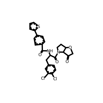 O=C(NC(Cc1ccc(Cl)c(Cl)c1)C(=O)N1CCC2OCC(=O)C21)c1ccc(-c2cccs2)cc1